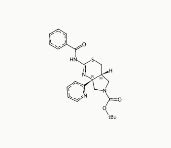 CC(C)(C)OC(=O)N1C[C@H]2CSC(NC(=O)c3ccccc3)=N[C@@]2(c2ccccn2)C1